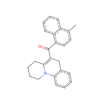 Cc1ccc(C(=O)C2=C3CCCCN3c3ccccc3C2)c2ccccc12